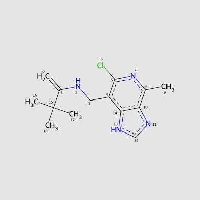 C=C(NCc1c(Cl)nc(C)c2nc[nH]c12)C(C)(C)C